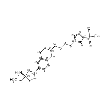 CC[C@@]1(N)CC[C@H](c2ccc3c(c2)CC[C@@H](CCCCc2ccc(C(F)(F)F)s2)C3)C1